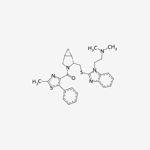 Cc1nc(C(=O)N2CC3CC3C2CSc2nc3ccccc3n2CCN(C)C)c(-c2ccccc2)s1